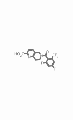 O=C(O)c1ccc2c(n1)CCN(C(=O)c1c(F)cc(F)cc1C(F)(F)F)C2